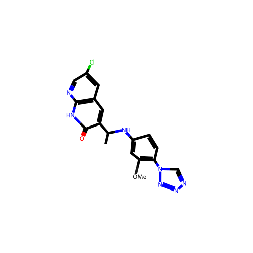 COc1cc(NC(C)c2cc3cc(Cl)cnc3[nH]c2=O)ccc1-n1cnnn1